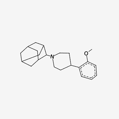 COc1ccccc1C1CCN(C2C3CC4CC(C3)CC2C4)CC1